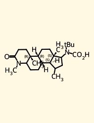 CC1CC(N(C(=O)O)C(C)(C)C)[C@@]2(C)CC[C@@H]3[C@@H](CCC4N(C)C(=O)CC[C@@]43C)[C@H]12